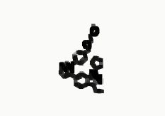 CCc1nn(C2CCCC2)c2cc(-c3ccnn3-c3ccc(COCCOC)cc3)ccc12